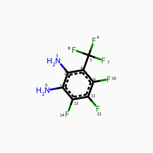 Nc1c(N)c(C(F)(F)F)c(F)c(F)c1F